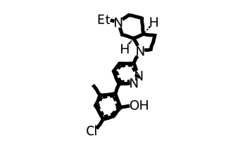 CCN1CC[C@H]2CCN(c3ccc(-c4c(C)cc(Cl)cc4O)nn3)[C@H]2C1